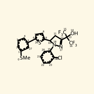 CSc1cccc(-c2ccc(C3CC(C(O)(C(F)(F)F)C(F)(F)F)=NN3c3ccccc3Cl)s2)c1